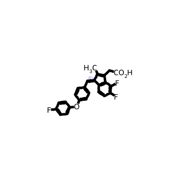 CC1=C(CC(=O)O)c2c(ccc(F)c2F)/C1=C\c1ccc(Oc2ccc(F)cc2)cc1